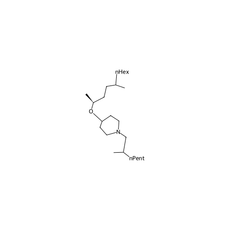 CCCCCCC(C)CC[C@H](C)OC1CCN(CC(C)CCCCC)CC1